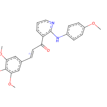 COc1ccc(Nc2ncccc2C(=O)/C=C/c2cc(OC)c(OC)c(OC)c2)cc1